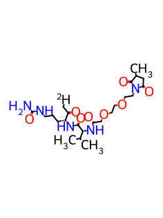 [2H]CC(=O)[C@H](CCCNC(N)=O)NC(=O)[C@@H](NC(=O)COCCOCCN1C(=O)CC(C)C1=O)C(C)C